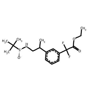 CCOC(=O)C(F)(F)c1cccc(C(C)CN[S@+]([O-])C(C)(C)C)c1